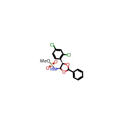 COS(=O)(=O)N[C@@H]1OC(c2ccccc2)O[C@@H]1c1ccc(Cl)cc1Cl